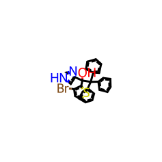 OC(c1c[nH]cn1)(c1sccc1Br)C(c1ccccc1)(c1ccccc1)c1ccccc1